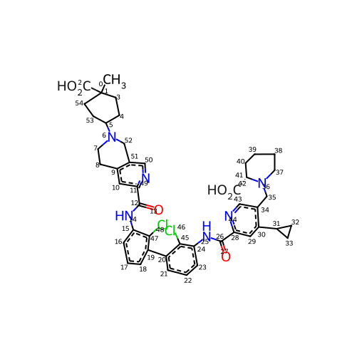 CC1(C(=O)O)CCC(N2CCc3cc(C(=O)Nc4cccc(-c5cccc(NC(=O)c6cc(C7CC7)c(CN7CCCC[C@H]7C(=O)O)cn6)c5Cl)c4Cl)ncc3C2)CC1